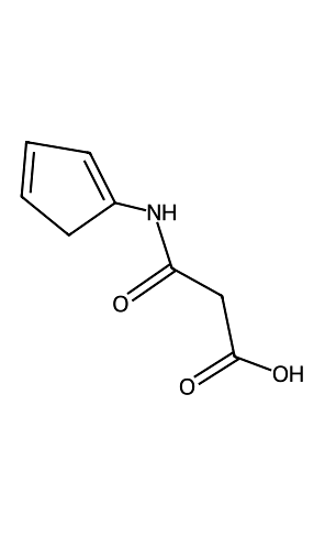 O=C(O)CC(=O)NC1=CC=CC1